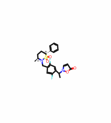 CC(c1cc(F)c(CN2[C@@H](C)CC[C@H](c3ccccc3)S2(=O)=O)cc1F)n1ccc(=O)o1